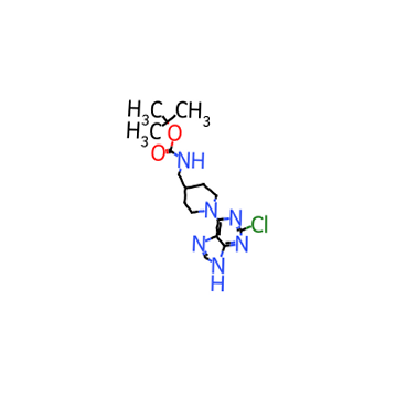 CC(C)(C)OC(=O)NCC1CCN(c2nc(Cl)nc3[nH]cnc23)CC1